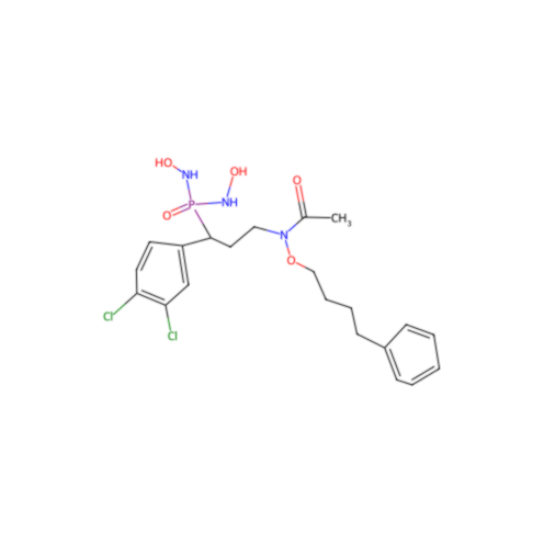 CC(=O)N(CCC(c1ccc(Cl)c(Cl)c1)P(=O)(NO)NO)OCCCCc1ccccc1